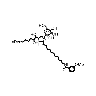 CCCCCCCCCCCCCCC(O)C(O)C(CO[C@H]1O[C@H](CO)[C@H](O)[C@H](O)[C@H]1O)NC(=O)CCCCCCCCCCCNC(=O)c1cccc(OC)c1